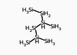 [SiH3][SiH2][SiH]([SiH3])[SiH2][SiH]([SiH3])[SiH3]